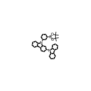 CC1(C)OB(c2cccc(-n3c4ccccc4c4ccc(-n5c6ccccc6c6ccccc65)cc43)c2)OC1(C)C